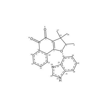 CC1OC2=C(C(=O)C(=O)c3ccccc32)C1(C)C.c1ccc2[nH]cnc2c1